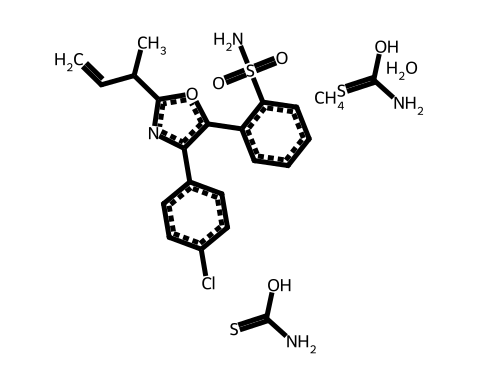 C.C=CC(C)c1nc(-c2ccc(Cl)cc2)c(-c2ccccc2S(N)(=O)=O)o1.NC(O)=S.NC(O)=S.O